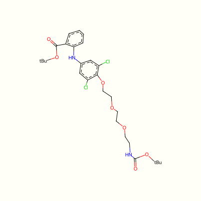 CC(C)(C)OC(=O)NCCOCCOCCOc1c(Cl)cc(Nc2ccccc2C(=O)OC(C)(C)C)cc1Cl